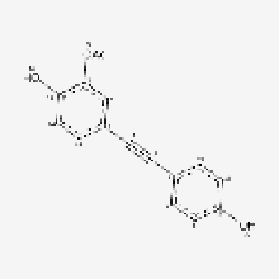 CC(=O)Oc1cc(C#Cc2ccc(O)cc2)ccc1O